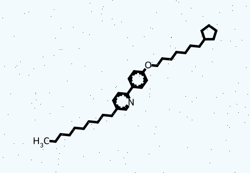 CCCCCCCCCCc1ccc(-c2ccc(OCCCCCCCC3CCCC3)cc2)nc1